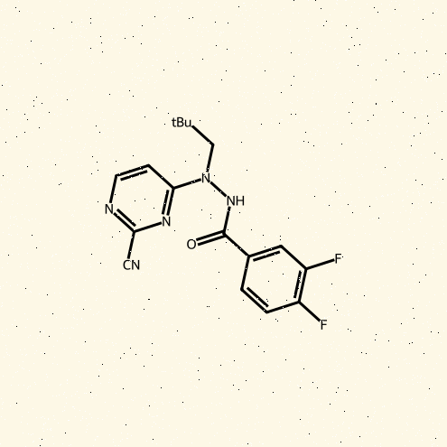 CC(C)(C)CN(NC(=O)c1ccc(F)c(F)c1)c1ccnc(C#N)n1